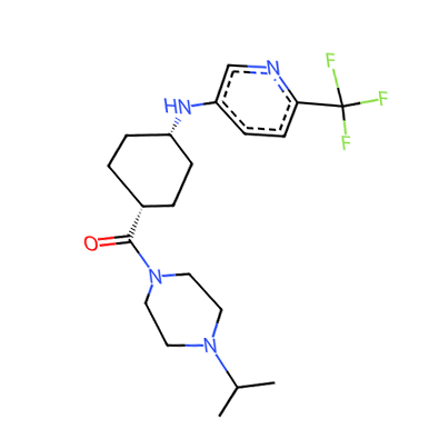 CC(C)N1CCN(C(=O)[C@H]2CC[C@@H](Nc3ccc(C(F)(F)F)nc3)CC2)CC1